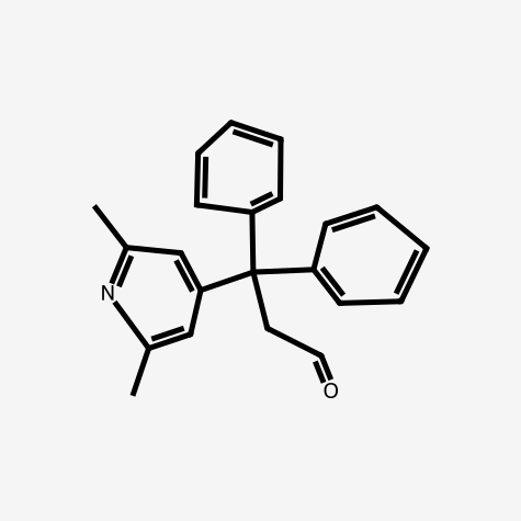 Cc1cc(C(CC=O)(c2ccccc2)c2ccccc2)cc(C)n1